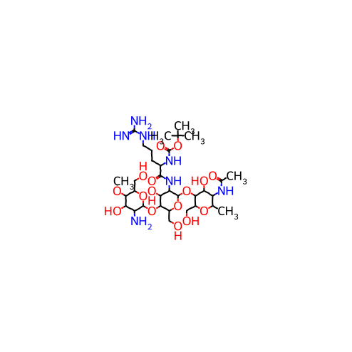 COC1C(CO)OC(OC2C(CO)OC(OC3C(CO)OC(C)C(NC(C)=O)C3O)C(NC(=O)C(CCCNC(=N)N)NC(=O)OC(C)(C)C)C2O)C(N)C1O